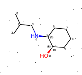 CC(C)CN[C@H]1CCCC[C@H]1O